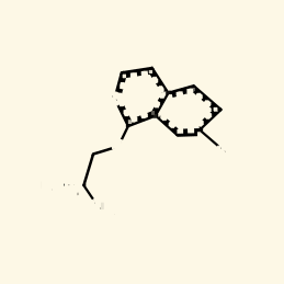 C[C@@H](N)COc1nccc2ccc([N+](=O)[O-])cc12